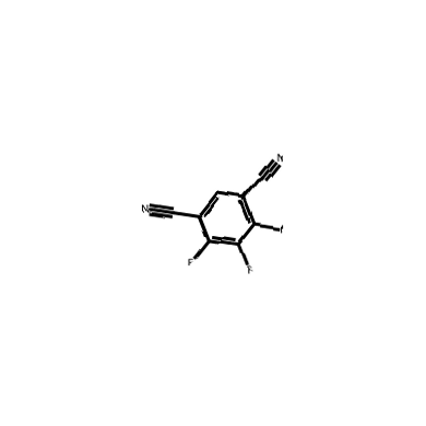 N#Cc1cc(C#N)c(I)c(F)c1F